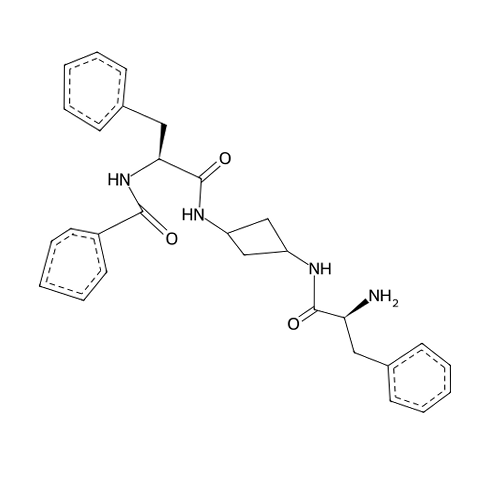 N[C@@H](Cc1ccccc1)C(=O)NC1CC(NC(=O)[C@H](Cc2ccccc2)NC(=O)c2ccccc2)C1